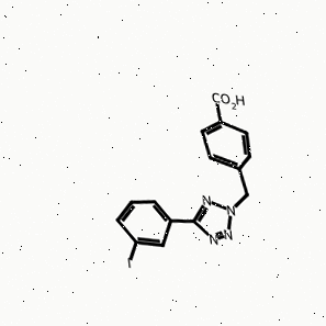 O=C(O)c1ccc(Cn2nnc(-c3cccc(I)c3)n2)cc1